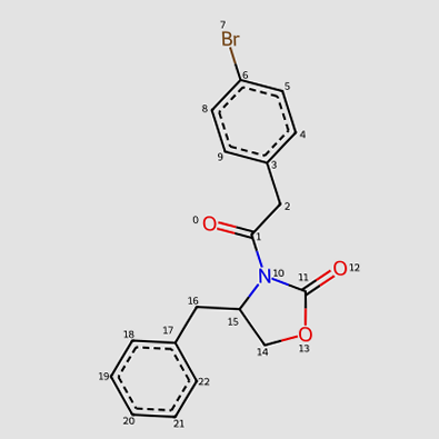 O=C(Cc1ccc(Br)cc1)N1C(=O)OCC1Cc1ccccc1